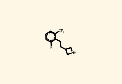 Fc1cccc(C(F)(F)F)c1CCC1CNC1